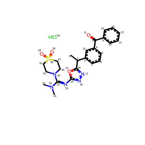 CC(c1cccc(C(=O)c2ccccc2)c1)c1nnc(N=C(N(C)C)N2CCS(=O)(=O)CC2)o1.Cl